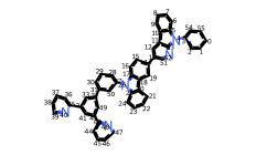 c1ccc(-n2c3ccccc3c3cc(-c4ccc5c(c4)c4ccccc4n5-c4cccc(-c5cc(-c6ccccn6)cc(-c6ccccn6)c5)c4)cnc32)cc1